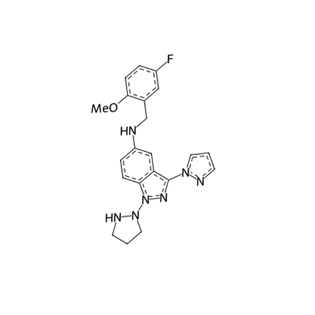 COc1ccc(F)cc1CNc1ccc2c(c1)c(-n1cccn1)nn2N1CCCN1